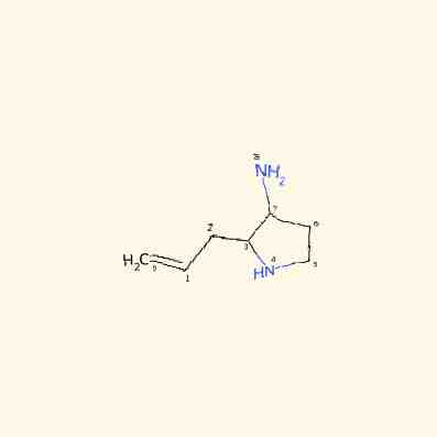 C=CCC1NCCC1N